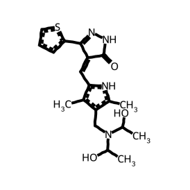 Cc1[nH]c(C=C2C(=O)NN=C2c2cccs2)c(C)c1CN(C(C)O)C(C)O